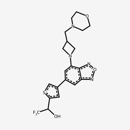 OC(c1cc(-c2cc(N3CC(CN4CCOCC4)C3)c3nonc3c2)cs1)C(F)(F)F